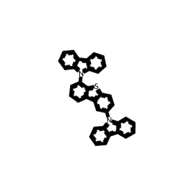 c1cc(-n2c3ccccc3c3ccccc32)c2sc3ccc(-n4c5ccccc5c5ccccc54)cc3c2c1